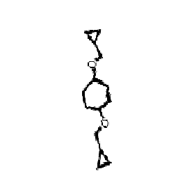 C1CC1COC1CCC(OCC2CC2)CC1